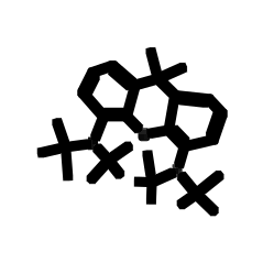 CC1(C)c2cccc(P(C(C)(C)C)C(C)(C)C)c2Oc2c(P(C(C)(C)C)C(C)(C)C)cccc21